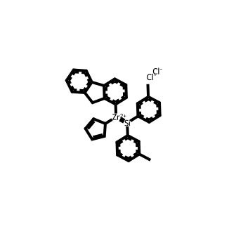 Cc1cccc([Si](c2cccc(C)c2)=[Zr+2]([c]2cccc3c2Cc2ccccc2-3)[CH]2C=CC=C2)c1.[Cl-].[Cl-]